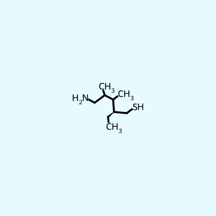 CC[C@H](CS)C(C)C(C)CN